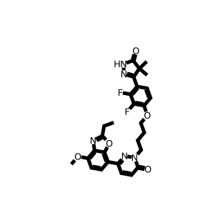 CCc1nc2c(OC)ccc(-c3ccc(=O)n(CCCCOc4ccc(C5=NNC(=O)C5(C)C)c(F)c4F)n3)c2o1